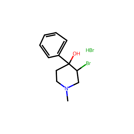 Br.CN1CCC(O)(c2ccccc2)C(Br)C1